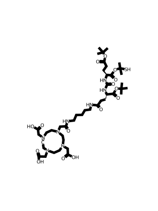 CC(C)(C)OC(=O)CC[C@H](NC(=O)N[C@@H](CCC(=O)NCCCCCNC(=O)CN1CCN(CC(=O)O)CCN(CC(=O)O)CCN(CC(=O)O)CC1)C(=O)OC(C)(C)C)C(=O)OC(C)(C)S